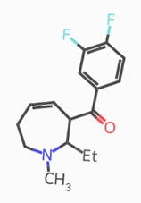 CCC1C(C(=O)c2ccc(F)c(F)c2)C=CCCN1C